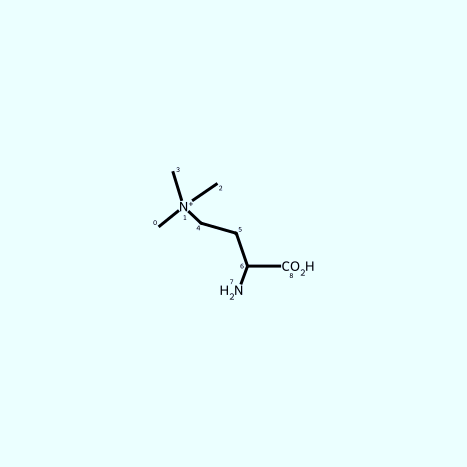 C[N+](C)(C)CCC(N)C(=O)O